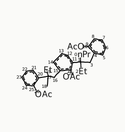 CCCC(CC)(Cc1ccccc1OC(C)=O)c1cccc(CC(C)(CC)c2ccccc2OC(C)=O)c1OC(C)=O